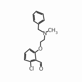 CN(CCOc1cccc(Cl)c1C=O)Cc1ccccc1